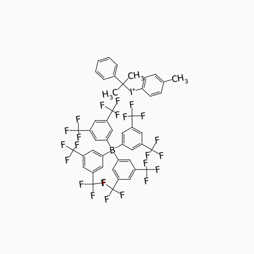 Cc1ccc([I+]C(C)(C)c2ccccc2)cc1.FC(F)(F)c1cc([B-](c2cc(C(F)(F)F)cc(C(F)(F)F)c2)(c2cc(C(F)(F)F)cc(C(F)(F)F)c2)c2cc(C(F)(F)F)cc(C(F)(F)F)c2)cc(C(F)(F)F)c1